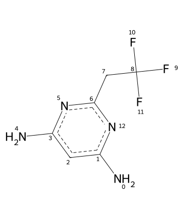 Nc1cc(N)nc(CC(F)(F)F)n1